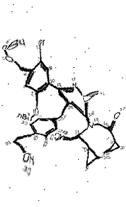 CCCCOc1cc(OCCCC)c(C(C)C)cc1-c1noc(N(C(=O)C2CC2)C(=O)C2CC2)c1-c1ccc(CO)cc1